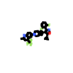 Cc1cc(C(F)(F)F)c2cc(N3CCC4(C=C(c5c(-c6c(F)cccc6F)noc5C5CC5)C4)CC3)ccc2n1